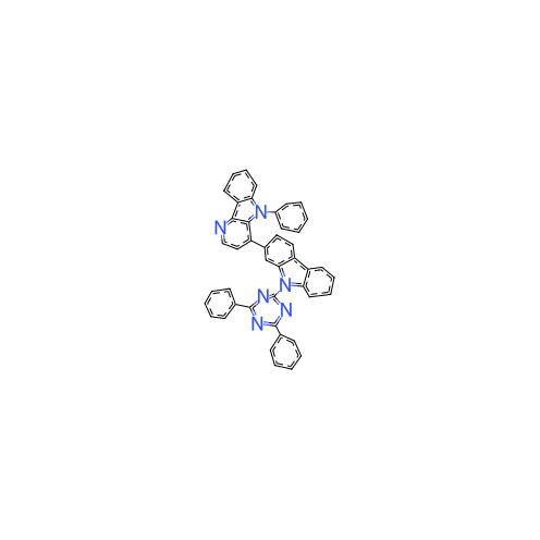 c1ccc(-c2nc(-c3ccccc3)nc(-n3c4ccccc4c4ccc(-c5ccnc6c7ccccc7n(-c7ccccc7)c56)cc43)n2)cc1